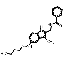 CCCCSNc1ccc2[nH]c(CNC(=O)c3ccccc3)c(C)c2c1